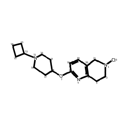 ClN1CCc2nc(OC3CCN(C4CCC4)CC3)ccc2C1